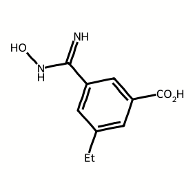 CCc1cc(C(=N)NO)cc(C(=O)O)c1